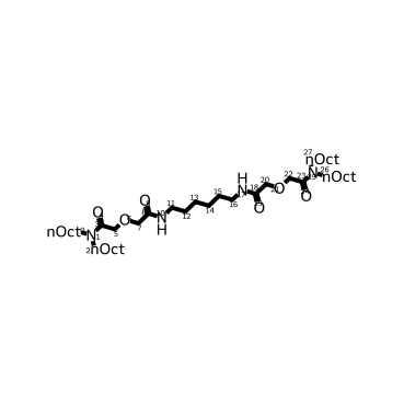 CCCCCCCCN(CCCCCCCC)C(=O)COCC(=O)NCCCCCCNC(=O)COCC(=O)N(CCCCCCCC)CCCCCCCC